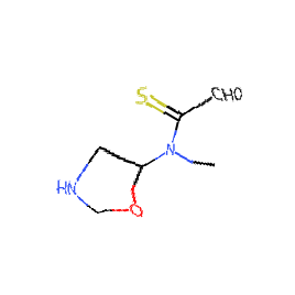 CN(C(=S)C=O)C1CNCO1